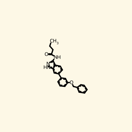 CCCC(=O)Nc1n[nH]c2cc(-c3cccc(OCc4ccccc4)c3)ccc12